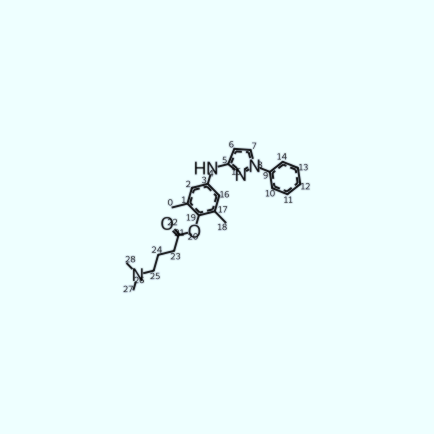 Cc1cc(Nc2ccn(-c3ccccc3)n2)cc(C)c1OC(=O)CCCN(C)C